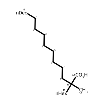 CCCCCCCCCCCCCCCCCCC(C)(CCCCCC)C(=O)O